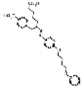 O=C(O)CCCCC(/C=C/c1ccc(OCCCCOc2ccccc2)cc1)Cc1ccc(C(=O)O)cc1